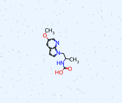 COc1cnc2c(ccn2CC(C)NC(=O)O)c1